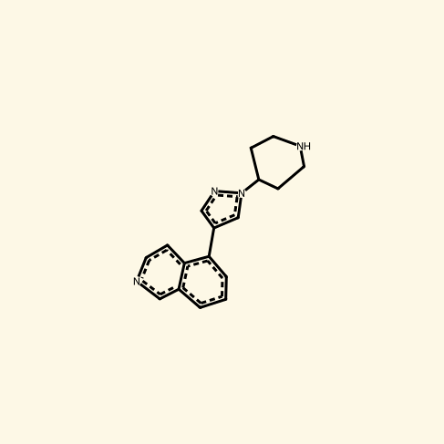 c1cc(-c2cnn(C3CCNCC3)c2)c2ccncc2c1